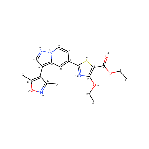 CCOC(=O)c1sc(-c2ccn3ncc(-c4c(C)noc4C)c3c2)nc1OCC